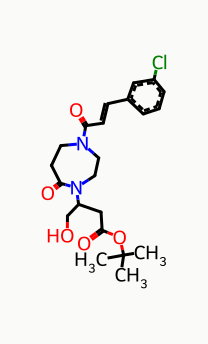 CC(C)(C)OC(=O)CC(CO)N1CCN(C(=O)C=Cc2cccc(Cl)c2)CCC1=O